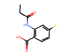 CCC(=O)Nc1cc(F)ccc1C(=O)O